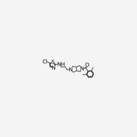 Cc1cccc(C)c1C(=O)N1CC2CN(CCCNc3ncc(Cl)s3)CC2C1